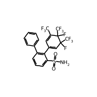 NS(=O)(=O)c1cccc(-c2ccccc2)c1C1=CC(F)(C(F)(F)F)C(F)(C(F)(F)F)C(C(F)(F)F)=C1